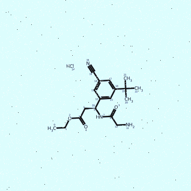 CCOC(=O)C[C@H](NC(=O)CN)c1cc(C#N)cc(C(C)(C)C)c1.Cl